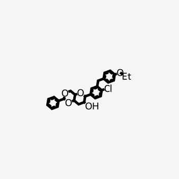 CCOc1ccc(Cc2cc(C3OC4COC(c5ccccc5)OC4CC3O)ccc2Cl)cc1